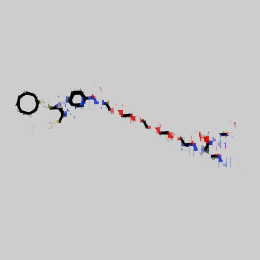 BSCc1nc2cc(C(=O)NCCOCCOCCOCCOCCC(=O)N[C@@H](CC(N)=O)C(=O)NCC=O)ccc2nc1CSC1CCCCCCC1